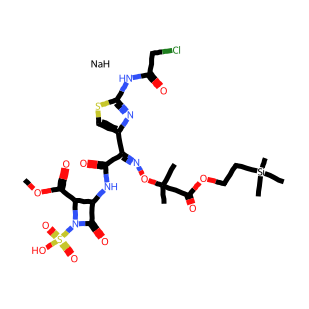 COC(=O)C1C(NC(=O)/C(=N\OC(C)(C)C(=O)OCC[Si](C)(C)C)c2csc(NC(=O)CCl)n2)C(=O)N1S(=O)(=O)O.[NaH]